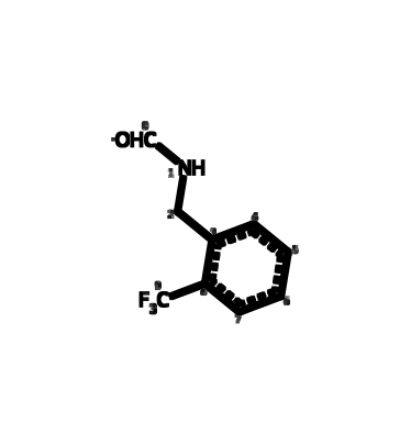 O=[C]NCc1ccccc1C(F)(F)F